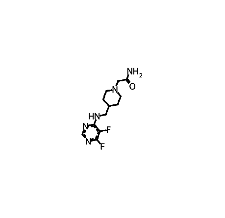 NC(=O)CN1CCC(CNc2ncnc(F)c2F)CC1